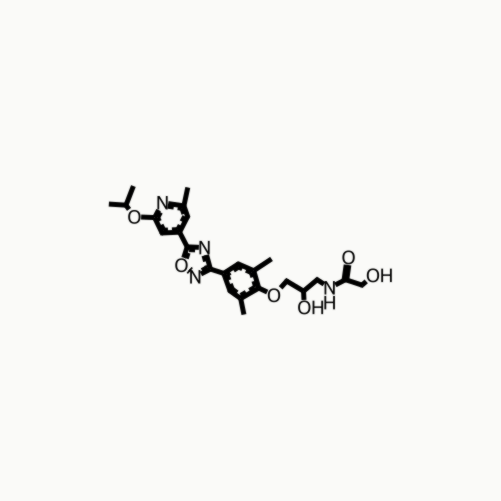 Cc1cc(-c2nc(-c3cc(C)c(OCC(O)CNC(=O)CO)c(C)c3)no2)cc(OC(C)C)n1